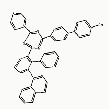 N#Cc1ccc(-c2ccc(-c3nc(-c4ccccc4)nc(-c4cccc(-c5cccc6ccccc56)c4-c4ccccc4)n3)cc2)cc1